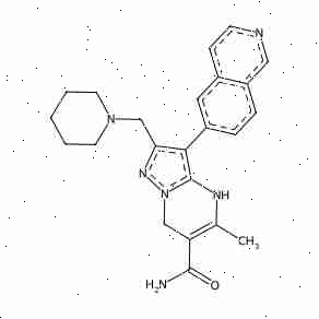 CC1=C(C(N)=O)Cn2nc(CN3CCCCC3)c(-c3ccc4cnccc4c3)c2N1